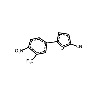 N#Cc1ccc(-c2ccc([N+](=O)[O-])c(C(F)(F)F)c2)o1